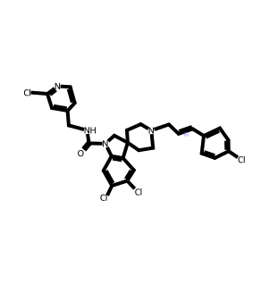 O=C(NCc1ccnc(Cl)c1)N1CC2(CCN(C/C=C/c3ccc(Cl)cc3)CC2)c2cc(Cl)c(Cl)cc21